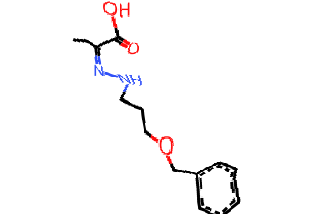 CC(=NNCCCOCc1ccccc1)C(=O)O